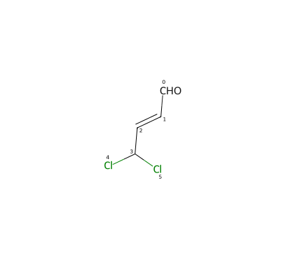 O=C/C=C/C(Cl)Cl